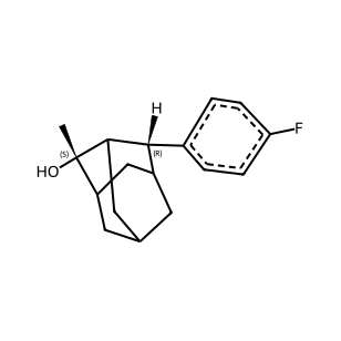 C[C@]1(O)C2CC3CC(C2)[C@@H](c2ccc(F)cc2)C1C3